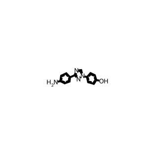 Nc1ccc(-c2ncn(-c3ccc(O)cc3)n2)cc1